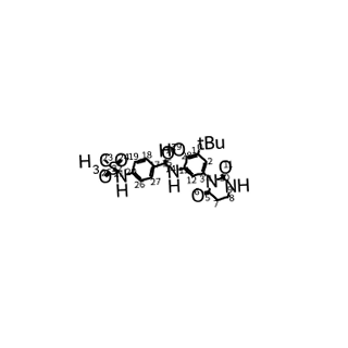 CC(C)(C)c1cc(N2C(=O)CCNC2=O)cc(NC(=O)c2ccc(NS(C)(=O)=O)cc2)c1O